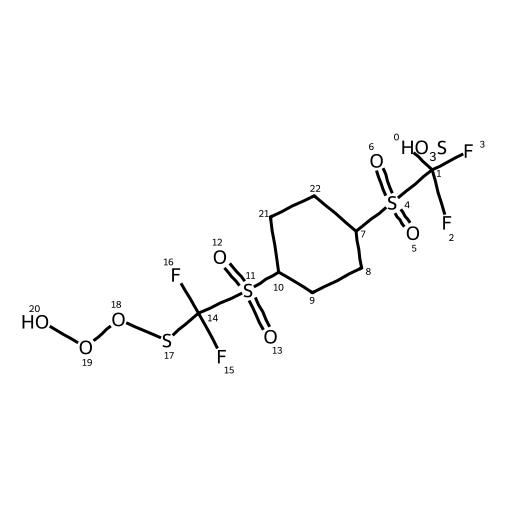 O=S(=O)(O)C(F)(F)S(=O)(=O)C1CCC(S(=O)(=O)C(F)(F)SOOO)CC1